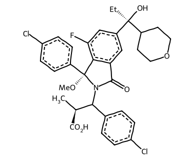 CC[C@@](O)(c1cc(F)c2c(c1)C(=O)N(C(c1ccc(Cl)cc1)[C@H](C)C(=O)O)[C@@]2(OC)c1ccc(Cl)cc1)C1CCOCC1